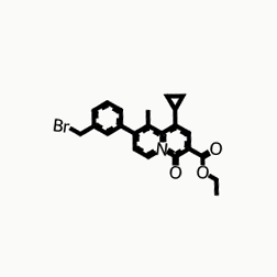 CCOC(=O)c1cc(C2CC2)c2c(C)c(-c3cccc(CBr)c3)ccn2c1=O